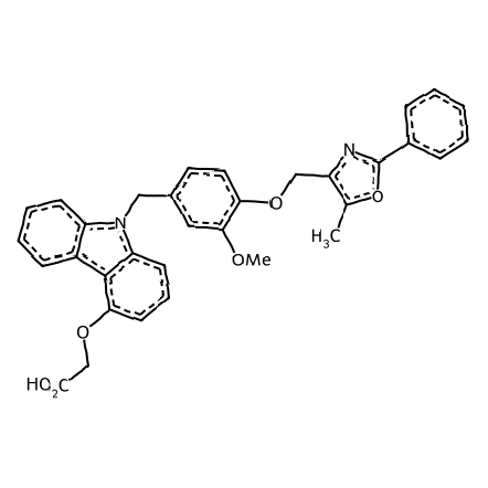 COc1cc(Cn2c3ccccc3c3c(OCC(=O)O)cccc32)ccc1OCc1nc(-c2ccccc2)oc1C